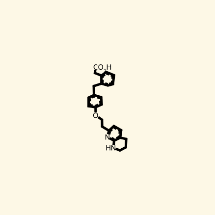 O=C(O)Cc1ccccc1Cc1ccc(OCCc2ccc3c(n2)NCCC3)cc1